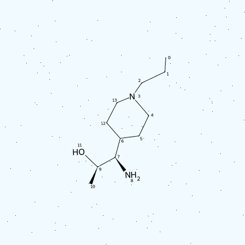 CCCN1CCC([C@@H](N)[C@@H](C)O)CC1